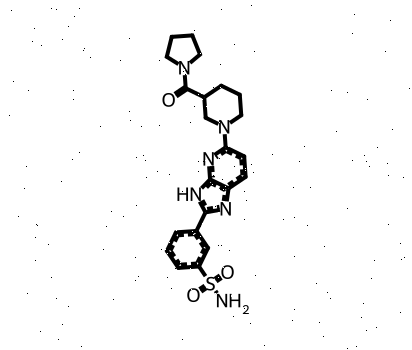 NS(=O)(=O)c1cccc(-c2nc3ccc(N4CCCC(C(=O)N5CCCC5)C4)nc3[nH]2)c1